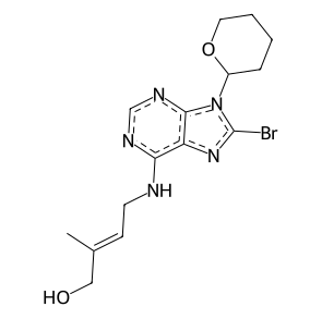 C/C(=C\CNc1ncnc2c1nc(Br)n2C1CCCCO1)CO